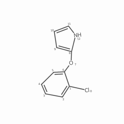 Clc1ccccc1Oc1ccc[nH]1